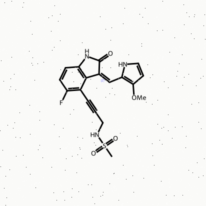 COc1cc[nH]c1/C=C1\C(=O)Nc2ccc(F)c(C#CCNS(C)(=O)=O)c21